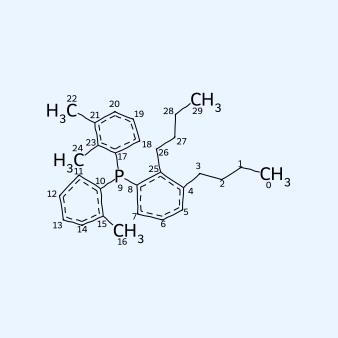 CCCCc1cccc(P(c2ccccc2C)c2cccc(C)c2C)c1CCCC